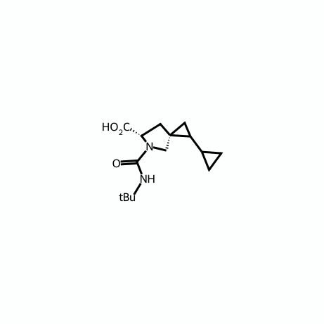 CC(C)(C)NC(=O)N1C[C@@]2(CC2C2CC2)C[C@H]1C(=O)O